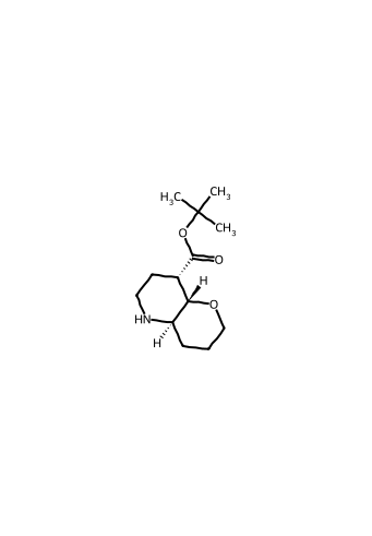 CC(C)(C)OC(=O)[C@H]1CCN[C@@H]2CCCO[C@@H]12